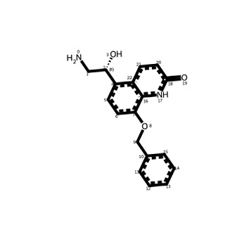 NC[C@H](O)c1ccc(OCc2ccccc2)c2[nH]c(=O)ccc12